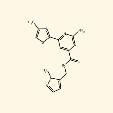 Cc1csc(-c2cc(C(=O)NCc3ccnn3C)nc(N)n2)n1